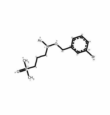 CC(=O)N(CCCP(C)(C)=O)OCc1cccc(Br)c1